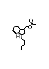 C=C/C=C\C[C@@H]1CC(COC(C)=O)C2CCC=C[C@@H]21